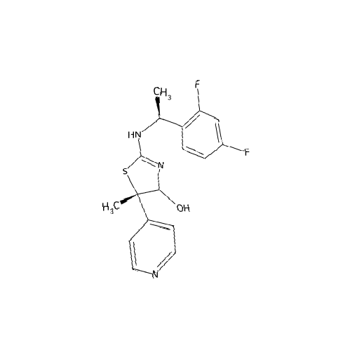 C[C@H](NC1=NC(O)[C@](C)(c2ccncc2)S1)c1ccc(F)cc1F